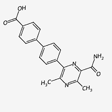 Cc1nc(C)c(-c2ccc(-c3ccc(C(=O)O)cc3)cc2)nc1C(N)=O